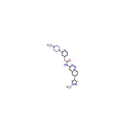 CN1CCN(c2cc(CC(=O)Nc3cc4cc(-c5cnn(C)c5)ccc4nn3)ccn2)CC1